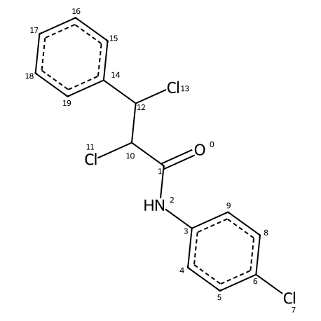 O=C(Nc1ccc(Cl)cc1)C(Cl)C(Cl)c1ccccc1